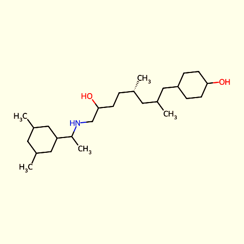 CC1CC(C)CC(C(C)NCC(O)CC[C@H](C)CC(C)CC2CCC(O)CC2)C1